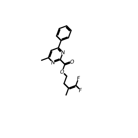 CC(CCOC(=O)c1nc(C)cc(-c2ccccc2)n1)=C(F)F